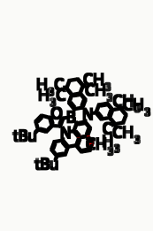 Cc1cc2c3c(c1)N(c1ccc(C(C)(C)C)cc1-c1ccccc1)c1c(oc4ccc(C(C)(C)C)cc14)B3c1cc3c(cc1N2c1ccc2c(c1)C(C)(C)CCC2(C)C)C(C)(C)CCC3(C)C